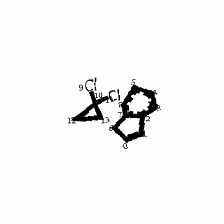 C1=Cc2ccccc2C1.ClC1(Cl)CC1